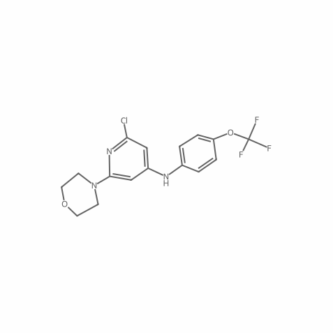 FC(F)(F)Oc1ccc(Nc2cc(Cl)nc(N3CCOCC3)c2)cc1